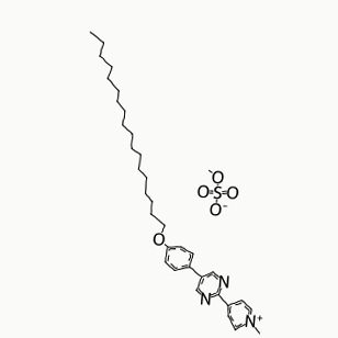 CCCCCCCCCCCCCCCCCCOc1ccc(-c2cnc(-c3cc[n+](C)cc3)nc2)cc1.COS(=O)(=O)[O-]